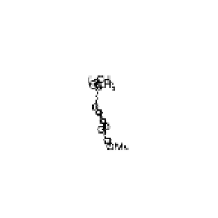 CCC(C)(C)C(=O)OCCCCCCOc1ccc(-c2ccc(OC(=O)C=Cc3ccc(OC)cc3)cc2)cc1